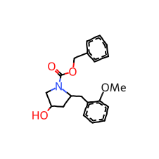 COc1ccccc1CC1CC(O)CN1C(=O)OCc1ccccc1